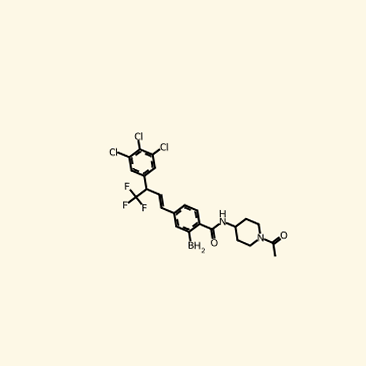 Bc1cc(/C=C/C(c2cc(Cl)c(Cl)c(Cl)c2)C(F)(F)F)ccc1C(=O)NC1CCN(C(C)=O)CC1